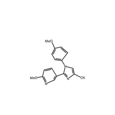 COc1ccc(-n2cc(C#N)nc2-c2ccc(OC)nc2)cc1